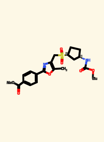 COC(=O)c1ccc(-c2nc(CS(=O)(=O)[C@@H]3CC[C@H](NC(=O)OC(C)(C)C)C3)c(C)o2)cc1